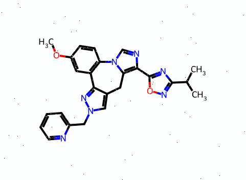 COc1ccc2c(c1)-c1nn(Cc3ccccn3)cc1Cc1c(-c3nc(C(C)C)no3)ncn1-2